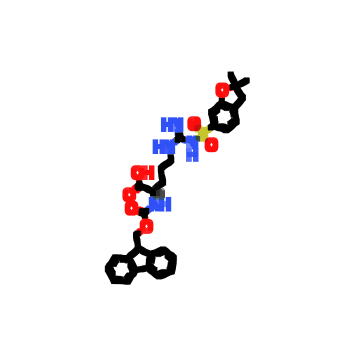 CC1(C)Cc2ccc(S(=O)(=O)NC(=N)NCCC[C@@H](NC(=O)OCC3c4ccccc4-c4ccccc43)C(=O)O)cc2O1